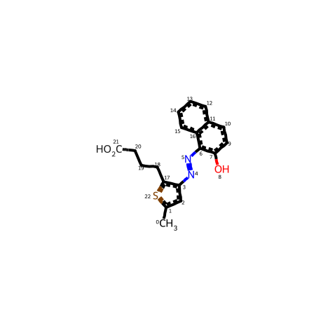 Cc1cc(N=Nc2c(O)ccc3ccccc23)c(CCCC(=O)O)s1